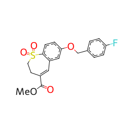 COC(=O)C1=Cc2cc(OCc3ccc(F)cc3)ccc2S(=O)(=O)CC1